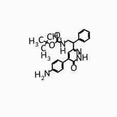 CC(C)(C)OC(=O)NCC(c1ccccc1)c1cc(-c2ccc(N)cc2)c(=O)[nH]n1